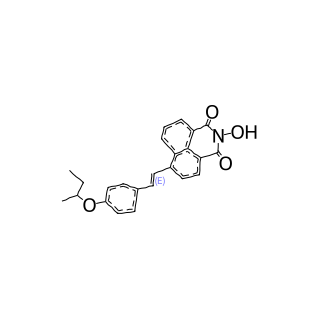 CCC(C)Oc1ccc(/C=C/c2ccc3c4c(cccc24)C(=O)N(O)C3=O)cc1